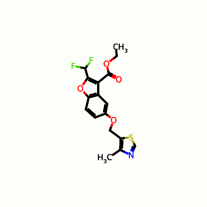 CCOC(=O)c1c(C(F)F)oc2ccc(OCc3scnc3C)cc12